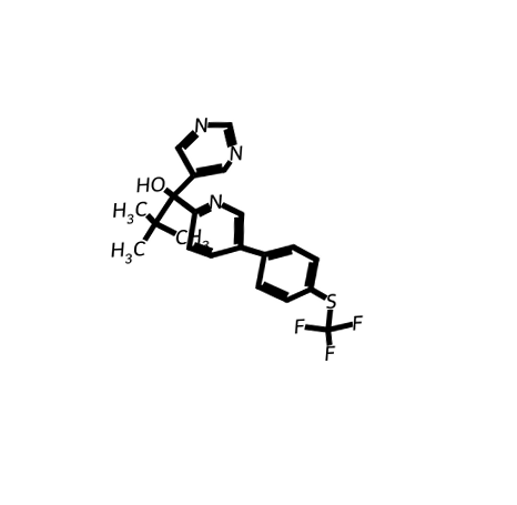 CC(C)(C)C(O)(c1cncnc1)c1ccc(-c2ccc(SC(F)(F)F)cc2)cn1